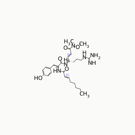 CCCCC/C=C/C(=O)N[C@@H](Cc1ccc(O)cc1)C(=O)N[C@H](/C=C/C(=O)N(C)OC)CCCNC(=N)N